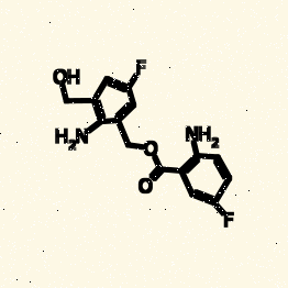 Nc1ccc(F)cc1C(=O)OCc1cc(F)cc(CO)c1N